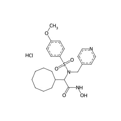 COc1ccc(S(=O)(=O)N(Cc2ccncc2)C(C(=O)NO)C2CCCCCCC2)cc1.Cl